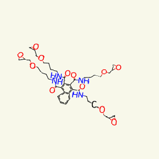 O=C(NCCCCOCC1CO1)c1c(C(=O)NCCCCOCC2CO2)c(C(=O)NCCCCOCC2CO2)c2ccccc2c1C(=O)NCCCCOCC1CO1